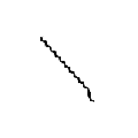 [CH2]CC#CCCCCCCCCCCCCCCCCCCCC[CH2]